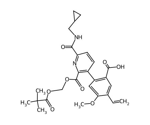 C=Cc1cc(C(=O)O)c(-c2ccc(C(=O)NCC3CC3)nc2C(=O)OCOC(=O)C(C)(C)C)cc1OC